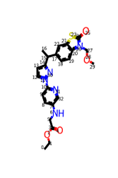 CCOC(=O)CNc1ccc(-n2ccc(C(C)c3ccc4c(c3)sc(=O)n4COC)n2)nc1